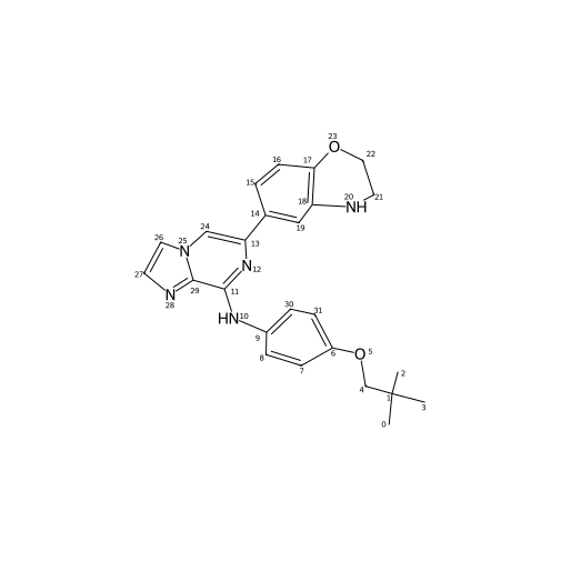 CC(C)(C)COc1ccc(Nc2nc(-c3ccc4c(c3)NCCO4)cn3ccnc23)cc1